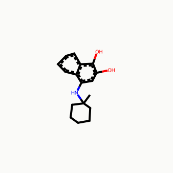 CC1(Nc2cc(O)c(O)c3ccccc23)CCCCC1